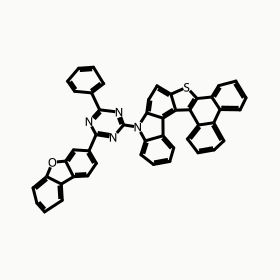 c1ccc(-c2nc(-c3ccc4c(c3)oc3ccccc34)nc(-n3c4ccccc4c4c5c(ccc43)sc3c4ccccc4c4ccccc4c35)n2)cc1